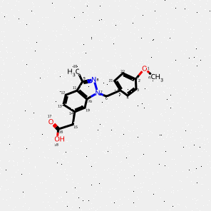 COc1ccc(Cn2nc(C)c3ccc(CC(=O)O)cc32)cc1